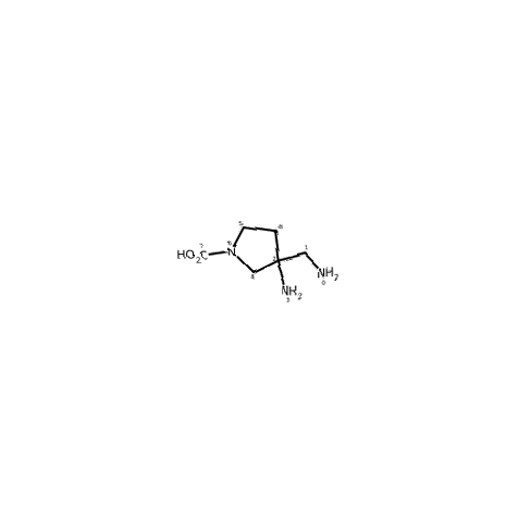 NCC1(N)CCN(C(=O)O)C1